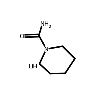 NC(=O)N1CCCCC1.[LiH]